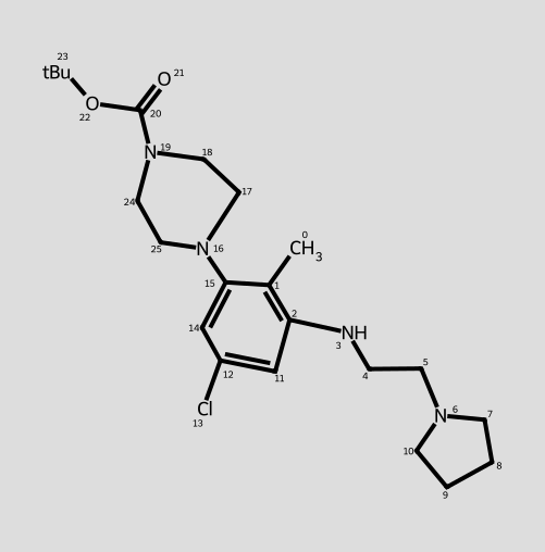 Cc1c(NCCN2CCCC2)cc(Cl)cc1N1CCN(C(=O)OC(C)(C)C)CC1